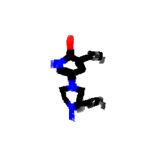 Cc1cc(N2CCN[C@H](C)C2)c[nH]c1=O